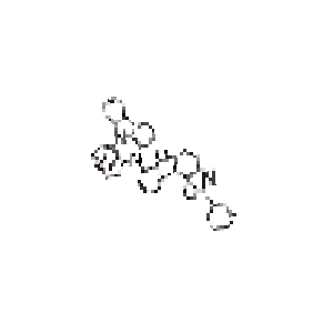 c1ccc(-c2nc3ccc4oc5c(N(c6ccccc6)c6cccc7c8ccccc8n(-c8ccccc8)c67)cccc5c4c3o2)cc1